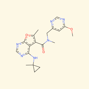 COc1cc(CN(C)C(=O)c2c(C)oc3ncnc(NC4(C)CC4)c23)ncn1